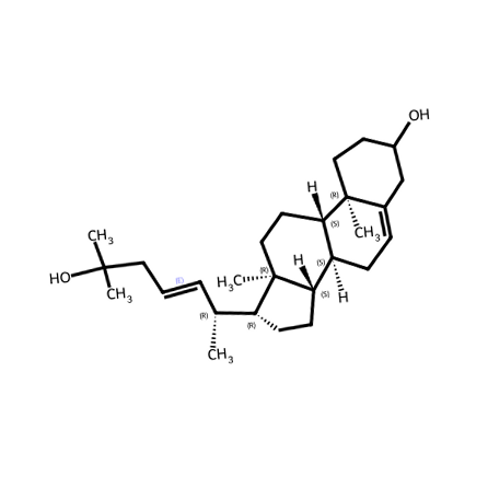 C[C@H](/C=C/CC(C)(C)O)[C@H]1CC[C@H]2[C@@H]3CC=C4CC(O)CC[C@]4(C)[C@H]3CC[C@]12C